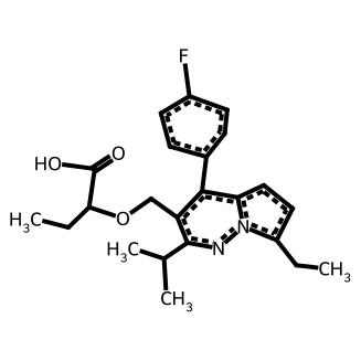 CCc1ccc2c(-c3ccc(F)cc3)c(COC(CC)C(=O)O)c(C(C)C)nn12